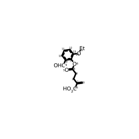 C=C(CCC(=O)Oc1c(C=O)cccc1OCC)C(=O)O